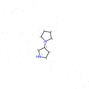 [CH]1CCN(C2CCNC2)C1